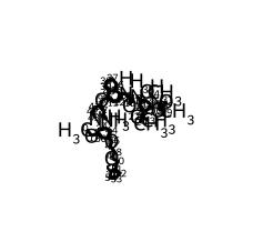 COc1cc(Nc2cc(Oc3ccc(NC(=O)Nc4cc(C(C)(C)C)cc(NS(C)(=O)=O)c4OC)c4ccccc34)ccn2)cc(OCCOCc2cccs2)c1